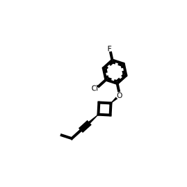 C[CH]C#C[C@H]1C[C@@H](Oc2ccc(F)cc2Cl)C1